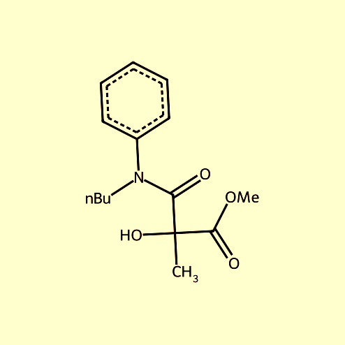 CCCCN(C(=O)C(C)(O)C(=O)OC)c1ccccc1